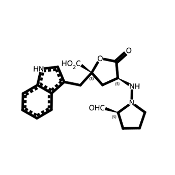 O=C[C@@H]1CCCN1N[C@H]1C[C@@](Cc2c[nH]c3ccccc23)(C(=O)O)OC1=O